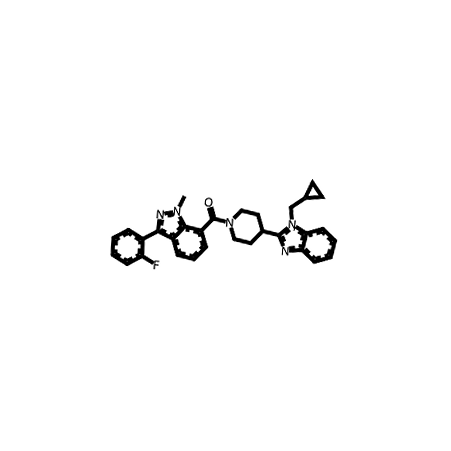 Cn1nc(-c2ccccc2F)c2cccc(C(=O)N3CCC(c4nc5ccccc5n4CC4CC4)CC3)c21